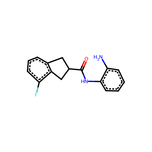 Nc1ccccc1NC(=O)C1Cc2cccc(F)c2C1